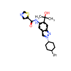 CC(C)[C@H]1CC[C@H](n2cc3cc(NC(=O)c4cncs4)c(C(C)(C)O)cc3n2)CC1